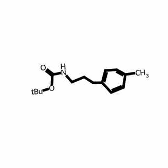 Cc1ccc(CCCNC(=O)OC(C)(C)C)cc1